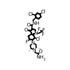 COc1c(N2C[C@@H](C)N(CC(N)=O)[C@@H](C)C2)c(F)cc2c(=O)c(C(=O)NCc3ccc(Cl)cc3Cl)cn(CC(F)(F)F)c12